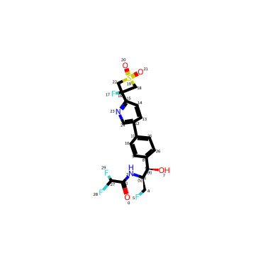 O=C(N[C@H](CF)[C@H](O)c1ccc(-c2ccc(C3(F)CS(=O)(=O)C3)nc2)cc1)C(F)F